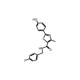 Cc1nc(-c2ccc(O)cc2)sc1C(=O)NCc1ccc(F)cc1